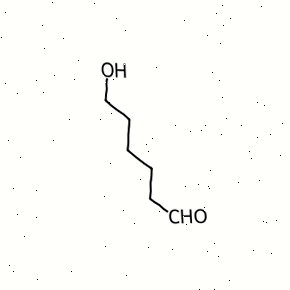 O=CCCCCCO